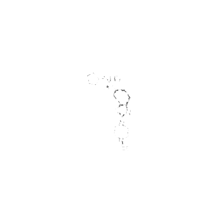 CCN1CCN(c2nc3ccc(S(=O)(=O)NC4CCCC4)cc3s2)CC1